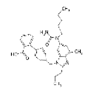 CCCCCN(C(N)=O)c1cc(C)c2nc(CCC)n(Cc3ccc(-c4ccccc4C(=O)O)cc3)c2c1